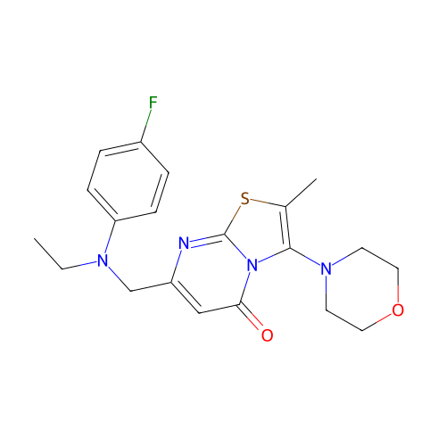 CCN(Cc1cc(=O)n2c(N3CCOCC3)c(C)sc2n1)c1ccc(F)cc1